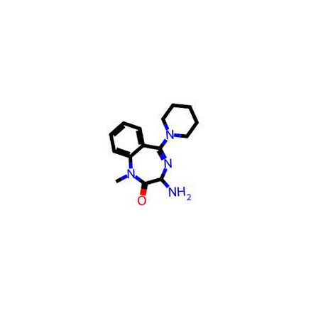 CN1C(=O)C(N)N=C(N2CCCCC2)c2ccccc21